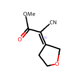 COC(=O)/C(C#N)=C1\CCOC1